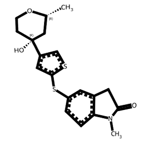 C[C@@H]1C[C@@](O)(c2csc(Sc3ccc4c(c3)CC(=O)N4C)c2)CCO1